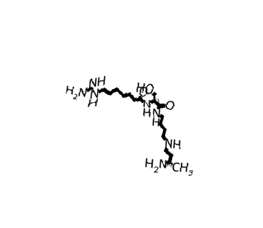 C[C@@H](N)CCNCCCCNC(=O)[C@H](CO)NC(=O)CCCCCCNC(=N)N